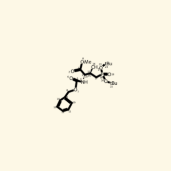 COC(=O)[C@@H](NC(=O)OCc1ccccc1)[C@@H](C)CP(=O)(OC(C)(C)C)OC(C)(C)C